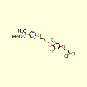 CON=C(C)c1ccc(OCCCCOc2c(Cl)cc(OCC=C(Cl)Cl)cc2Cl)nc1